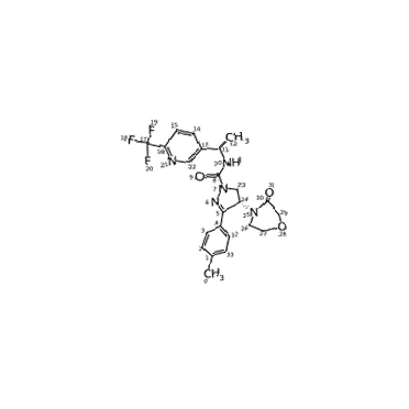 Cc1ccc(C2=NN(C(=O)NC(C)c3ccc(C(F)(F)F)nc3)C[C@@H]2N2CCOCC2=O)cc1